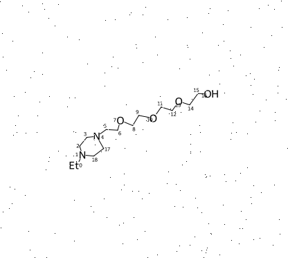 CCN1CCN(CCOCCOCCOCCO)CC1